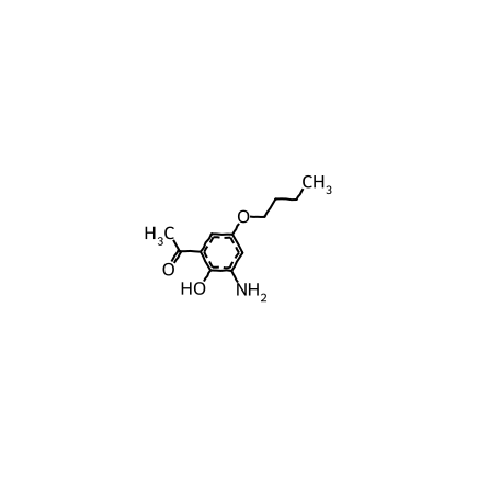 CCCCOc1cc(N)c(O)c(C(C)=O)c1